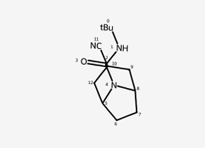 CC(C)(C)NC(=O)N1C2CCC1CC(C#N)C2